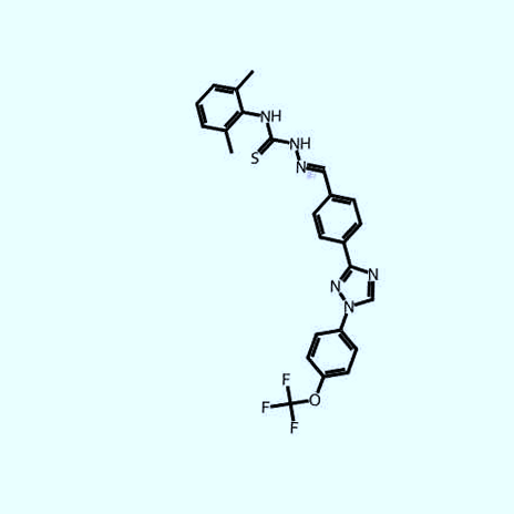 Cc1cccc(C)c1NC(=S)N/N=C/c1ccc(-c2ncn(-c3ccc(OC(F)(F)F)cc3)n2)cc1